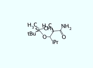 CC(C)C(O[Si](C)(C)C(C)(C)C)[C@@H](C)C(N)=O